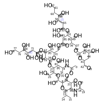 CC(=O)NC1[C@H](O[C@@H]2C(CO)O[C@@H](C(C)C)[C@@H](NC(C)=O)C2O)OC(CO)C(O[C@@H]2OC(CO[C@@H]3OC(COC4OC(C=O)CC(O)[C@H]4O)[C@@H](O)C(O[C@@H](O)/C=C(\O)[C@H](O)CCO)[C@H]3O)[C@@H](O)[C@H](O[C@@H](O)/C=C(\O)[C@H](O)CCO)C2O)[C@@H]1O